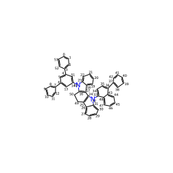 c1ccc(-c2cc(-c3ccccc3)cc(-n3c4c(c5ccccc53)-c3c(c5ccccc5n3-c3ccc(-c5ccccc5)c5ccccc35)CC4)c2)cc1